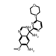 COc1cc2c(cc1N)C(N)(c1nccc(N3CCOCC3)n1)NC=N2